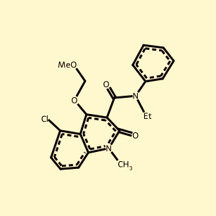 CCN(C(=O)c1c(OCOC)c2c(Cl)cccc2n(C)c1=O)c1ccccc1